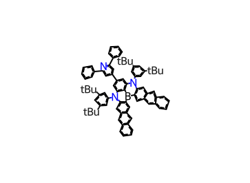 CC(C)(C)c1cc(N2c3cc4cc5ccccc5cc4cc3B3c4cc5cc6ccccc6cc5cc4N(c4cc(C(C)(C)C)cc(C(C)(C)C)c4)c4cc(-c5cc(-c6ccccc6)nc(-c6ccccc6)c5)cc2c43)cc(C(C)(C)C)c1